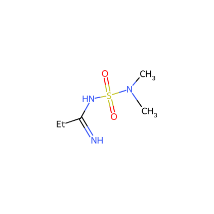 CCC(=N)NS(=O)(=O)N(C)C